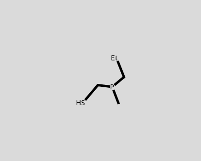 CCCP(C)CS